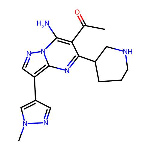 CC(=O)c1c(C2CCCNC2)nc2c(-c3cnn(C)c3)cnn2c1N